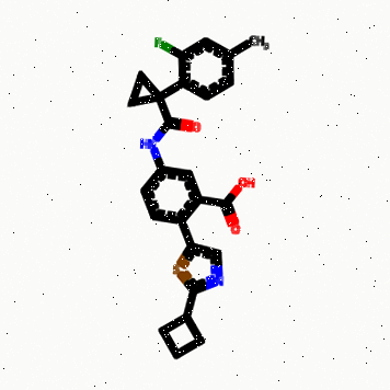 Cc1ccc(C2(C(=O)Nc3ccc(-c4cnc(C5CCC5)s4)c(C(=O)O)c3)CC2)c(F)c1